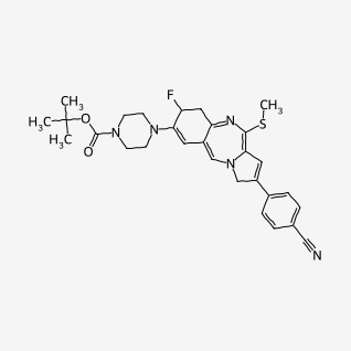 CSC1=C2C=C(c3ccc(C#N)cc3)CN2C=C2C=C(N3CCN(C(=O)OC(C)(C)C)CC3)C(F)CC2=N1